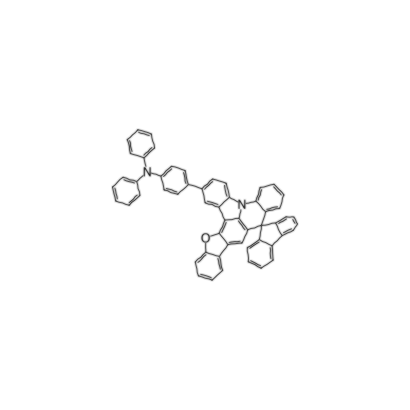 c1ccc(N(c2ccccc2)c2ccc(-c3ccc4c(c3)c3c5oc6ccccc6c5cc5c3n4-c3ccccc3C53c4ccccc4-c4ccccc43)cc2)cc1